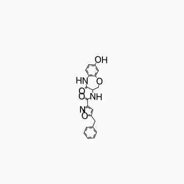 O=C(NC1COc2cc(O)ccc2NC1=O)c1cc(Cc2ccccc2)on1